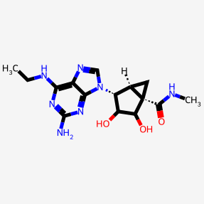 CCNc1nc(N)nc2c1ncn2[C@H]1C(O)C(O)[C@]2(C(=O)NC)C[C@H]12